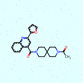 CC(=O)N1CCC2(CC1)CCN(C(=O)c1cc(-c3ccco3)nc3ccccc13)CC2